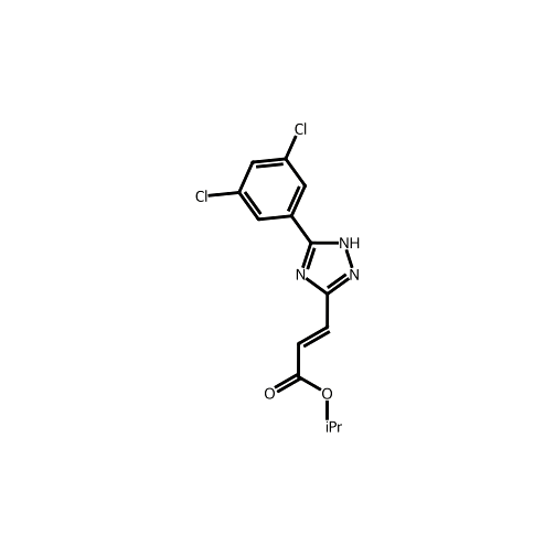 CC(C)OC(=O)C=Cc1n[nH]c(-c2cc(Cl)cc(Cl)c2)n1